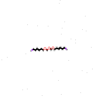 ICC/C=C/CCOCOCOCC/C=C/CCI